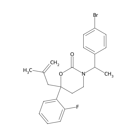 C=C(C)CC1(c2ccccc2F)CCN(C(C)c2ccc(Br)cc2)C(=O)O1